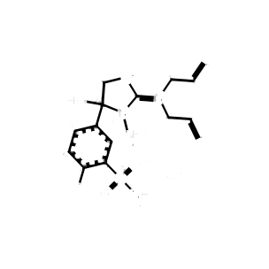 C=CC[N+](CC=C)=C1SCC(O)(c2ccc(Cl)c(S(N)(=O)=O)c2)N1CCCC.[Br-]